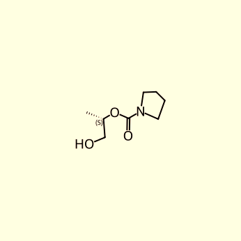 C[C@@H](CO)OC(=O)N1CCCC1